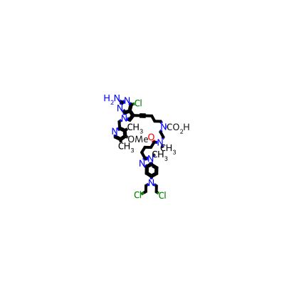 COc1c(C)cnc(Cn2cc(C#CCCCN(CCN(C)C(=O)CCCc3nc4cc(N(CCCl)CCCl)ccc4n3C)C(=O)O)c3c(Cl)nc(N)nc32)c1C